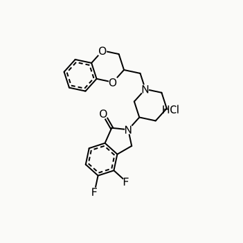 Cl.O=C1c2ccc(F)c(F)c2CN1C1CCCN(CC2COc3ccccc3O2)C1